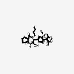 CCCCN1C(=O)c2ccccc2NC(O)C1c1ccc(-c2c(C)noc2C)c(OC)c1